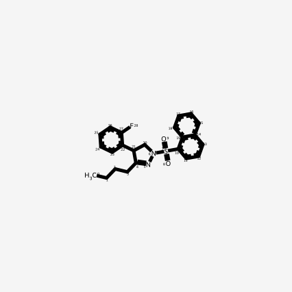 CCCCC1=NN(S(=O)(=O)c2cccc3ccccc23)CC1c1ccccc1F